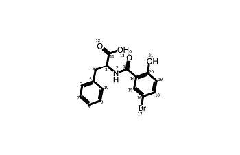 O=C(N[C@@H](Cc1ccccc1)C(=O)O)c1cc(Br)ccc1O